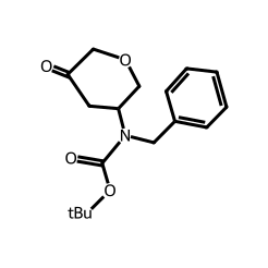 CC(C)(C)OC(=O)N(Cc1ccccc1)C1COCC(=O)C1